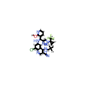 COc1ncccc1C(Nc1cc(Cl)c2ncc(C#N)c(NCC(C)(C)C)c2c1)c1cn(C2(C(F)(F)F)CC2)nn1